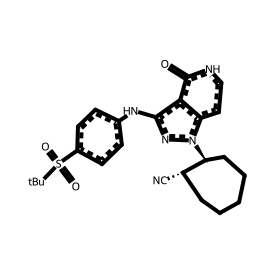 CC(C)(C)S(=O)(=O)c1ccc(Nc2nn([C@H]3CCCCC[C@@H]3C#N)c3cc[nH]c(=O)c23)cc1